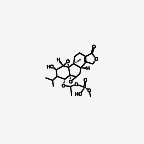 COP(=O)(O)OC(C)O[C@@H]1C(C(C)C)[C@@H](O)[C@@H]2O[C@@]23[C@@]2(C)CCC4=C(COC4=O)[C@@H]2CC2O[C@]213